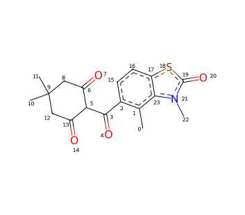 Cc1c(C(=O)C2C(=O)CC(C)(C)CC2=O)ccc2sc(=O)n(C)c12